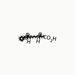 O=C(O)CCC(=O)NCCCCCNC(=O)OCc1ccccc1